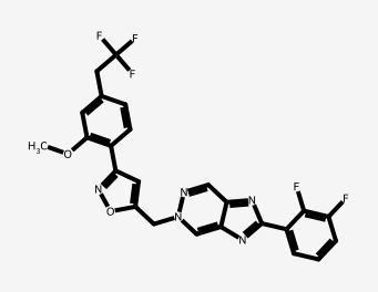 COc1cc(CC(F)(F)F)ccc1-c1cc(Cn2cc3nc(-c4cccc(F)c4F)nc-3cn2)on1